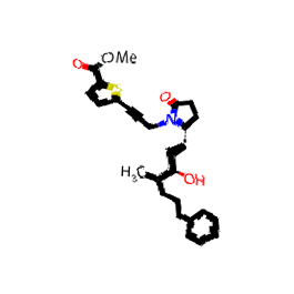 COC(=O)c1ccc(C#CCN2C(=O)CC[C@@H]2C=C[C@@H](O)C(C)CCCc2ccccc2)s1